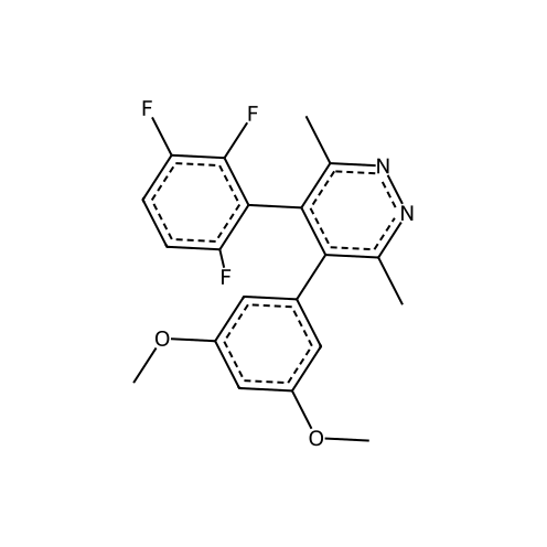 COc1cc(OC)cc(-c2c(C)nnc(C)c2-c2c(F)ccc(F)c2F)c1